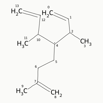 C=CC(C)[C](CCC(=C)C)C(C)C=C